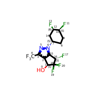 O[C@H]1c2c(C(F)(F)F)nn([C@H]3CC[C@H](F)[C@H](F)C3)c2[C@H](F)C1(F)F